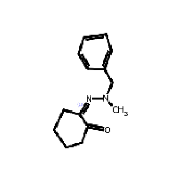 CN(Cc1ccccc1)/N=C1/CCCCC1=O